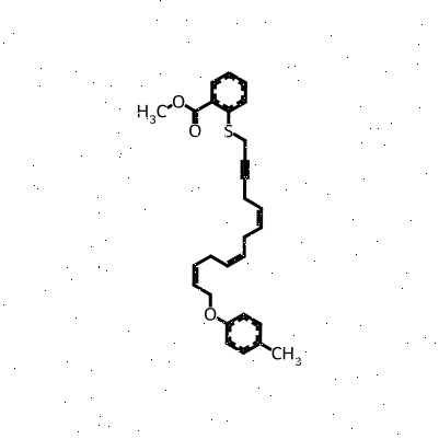 COC(=O)c1ccccc1SCC#CC/C=C\C/C=C\C/C=C\COc1ccc(C)cc1